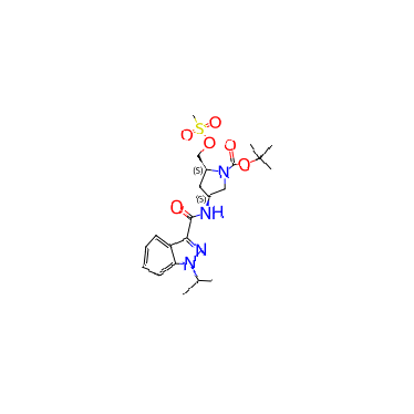 CC(C)n1nc(C(=O)N[C@H]2C[C@@H](COS(C)(=O)=O)N(C(=O)OC(C)(C)C)C2)c2ccccc21